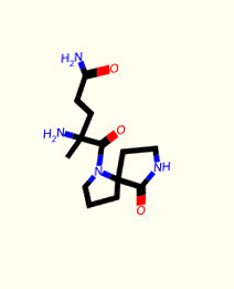 CC(N)(CCC(N)=O)C(=O)N1CCCC12CCNC2=O